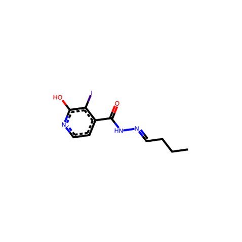 CCCC=NNC(=O)c1ccnc(O)c1I